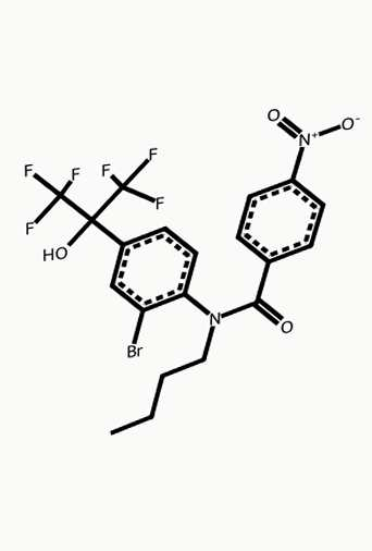 CCCCN(C(=O)c1ccc([N+](=O)[O-])cc1)c1ccc(C(O)(C(F)(F)F)C(F)(F)F)cc1Br